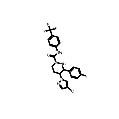 O=C(Nc1ccc(C(F)(F)F)cc1)N1CCC(n2cc(Cl)cn2)C(c2ccc(F)cc2)N1